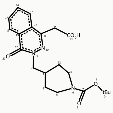 CC(C)(C)OC(=O)N1CCC(Cn2nc(CC(=O)O)c3ccccc3c2=O)CC1